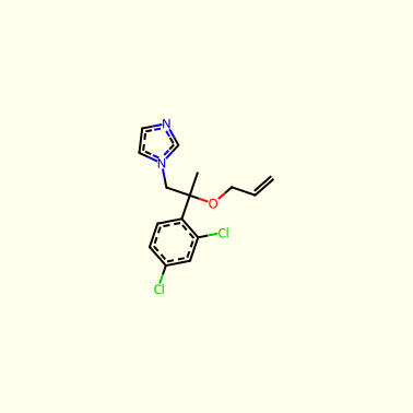 C=CCOC(C)(Cn1ccnc1)c1ccc(Cl)cc1Cl